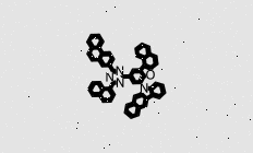 c1ccc2cc3c(cc2c1)c1ccccc1n3-c1cc(-c2nc(-c3ccc4c(ccc5ccccc54)c3)nc(-c3cccc4ccccc34)n2)cc2c1oc1ccc3ccccc3c12